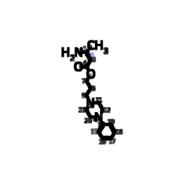 C/C(N)=C/C(=O)OCCCN1CCN(c2ccccc2)CC1